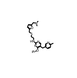 Cc1ccc(Cc2cnc(NCCSCc3ccc(CN(C)C)o3)nc2OC(C)C)cn1